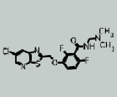 CN(C)CNC(=O)c1c(F)ccc(OCc2nc3cc(Cl)cnc3s2)c1F